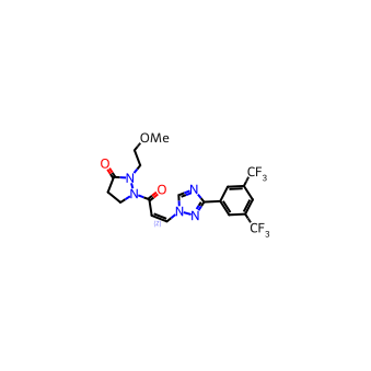 COCCN1C(=O)CCN1C(=O)/C=C\n1cnc(-c2cc(C(F)(F)F)cc(C(F)(F)F)c2)n1